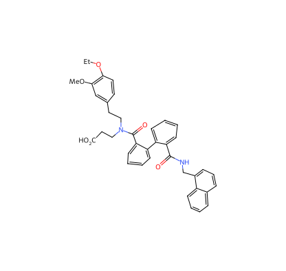 CCOc1ccc(CCN(CCC(=O)O)C(=O)c2ccccc2-c2ccccc2C(=O)NCc2cccc3ccccc23)cc1OC